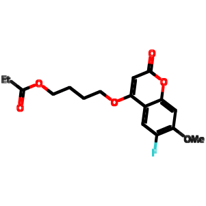 CCC(=O)OCCCCOc1cc(=O)oc2cc(OC)c(F)cc12